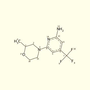 CC1CN(c2cc(C(F)(F)F)cc(N)n2)CCO1